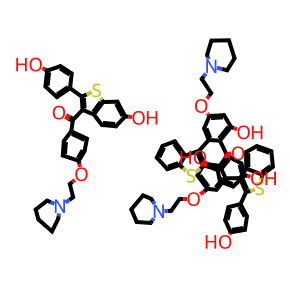 O=C(c1c(O)cc(OCCN2CCCCC2)cc1-c1c(-c2ccc(O)cc2)sc2ccccc12)c1c(O)cc(OCCN2CCCCC2)cc1-c1c(-c2ccc(O)cc2)sc2ccccc12.O=C(c1ccc(OCCN2CCCCC2)cc1)c1c(-c2ccc(O)cc2)sc2cc(O)ccc12